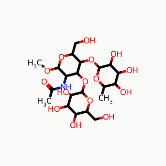 COC1OC(CO)C(OC2OC(C)C(O)C(O)C2O)C(OC2OC(CO)C(O)C(O)C2O)C1NC(C)=O